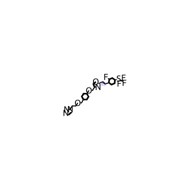 Fc1cc(SC(F)(F)F)ccc1/C=C/c1nc(COc2ccc(COCCn3ccnn3)cc2)co1